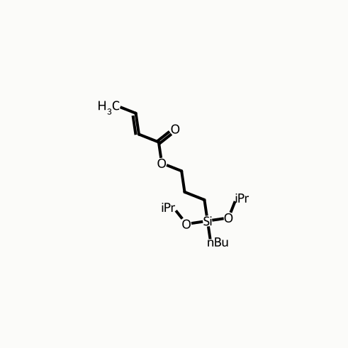 CC=CC(=O)OCCC[Si](CCCC)(OC(C)C)OC(C)C